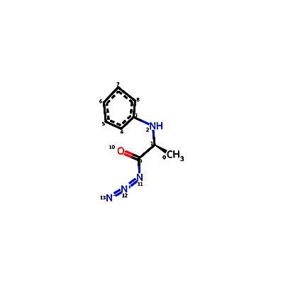 C[C@H](Nc1ccccc1)C(=O)N=[N+]=[N-]